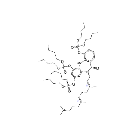 CCCCOP(=O)(OCCCC)Oc1cc(OP(=O)(OCCCC)OCCCC)c2c(c1)N(C/C=C(\C)CC/C=C(\C)CCC=C(C)C)C(=O)c1cccc(OP(=O)(OCCCC)OCCCC)c1N2